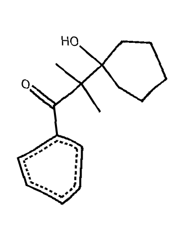 CC(C)(C(=O)c1ccccc1)C1(O)CCCCC1